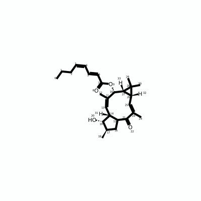 CCC/C=C\C=C\C(=O)O[C@H]1/C(C)=C\[C@@H]2C(C[C@@H](C)[C@@H]2O)C(=O)/C(C)=C/[C@@H]2[C@H]1C2(C)C